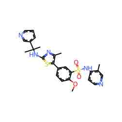 COc1ccc(-c2sc(NC(C)(C)c3cccnc3)nc2C)cc1S(=O)(=O)Nc1ccncc1C